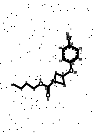 CCCCOC(=O)N1CC(Oc2ccc(Br)cc2)C1